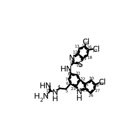 N=C(N)NCCc1cc(Nc2nc3cc(Cl)c(Cl)cc3s2)cc2c1[nH]c1ccc(Cl)cc12